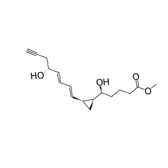 C#CC[C@@H](O)/C=C/C=C/[C@@H]1C[C@@H]1[C@@H](O)CCCC(=O)OC